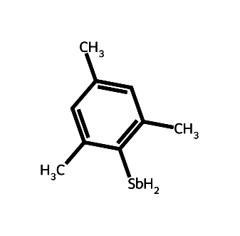 Cc1cc(C)[c]([SbH2])c(C)c1